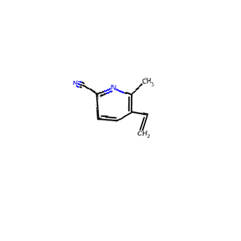 C=Cc1ccc(C#N)nc1C